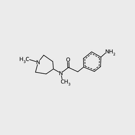 CN1CCC(N(C)C(=O)Cc2ccc(N)cc2)CC1